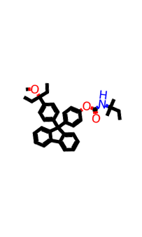 CCC(C)(C)NC(=O)Oc1ccc(C2(c3ccc(C(CC)(CC)OC)cc3)c3ccccc3-c3ccccc32)cc1